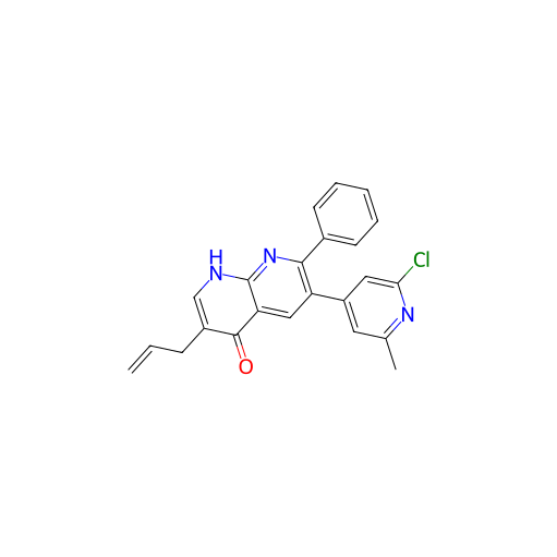 C=CCc1c[nH]c2nc(-c3ccccc3)c(-c3cc(C)nc(Cl)c3)cc2c1=O